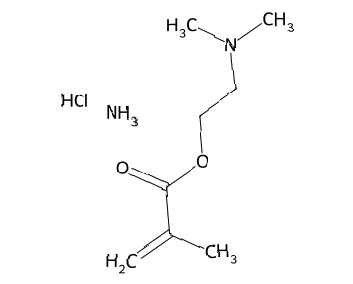 C=C(C)C(=O)OCCN(C)C.Cl.N